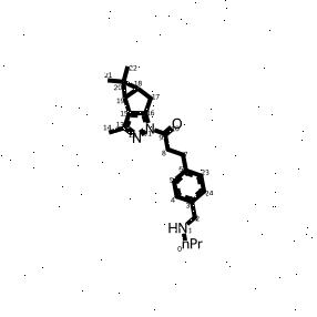 CCCNCc1ccc(CCC(=O)n2nc(C)c3c2CC2C3C2(C)C)cc1